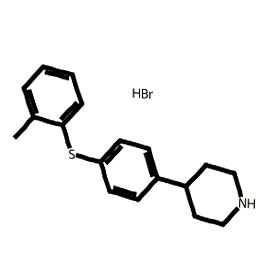 Br.Cc1ccccc1Sc1ccc(C2CCNCC2)cc1